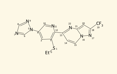 CCSc1cc(-n2cncn2)cnc1-c1ccn2nc(C(F)(F)F)cc2n1